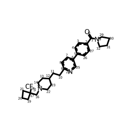 O=C(c1ccc(-c2ccc(CCC3CCN(CC4(C(F)(F)F)CCC4)CC3)nc2)cc1)N1CCCC1